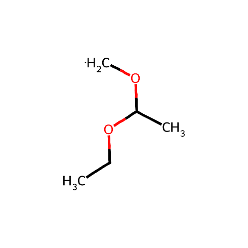 [CH2]OC(C)OCC